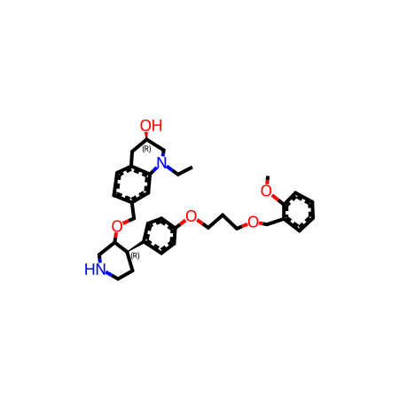 CCN1C[C@H](O)Cc2ccc(COC3CNCC[C@@H]3c3ccc(OCCCOCc4ccccc4OC)cc3)cc21